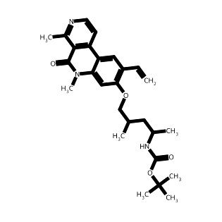 C=Cc1cc2c3ccnc(C)c3c(=O)n(C)c2cc1OCC(C)CC(C)NC(=O)OC(C)(C)C